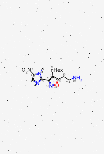 CCCCCCc1c(-c2ncc([N+](=O)[O-])n2C)noc1CCN